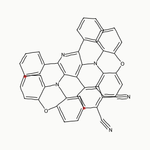 N#Cc1ccc(-c2c(N3c4ccccc4Oc4ccccc43)c(-c3ccccc3)nc(-c3ccccc3)c2N2c3ccccc3Oc3ccccc32)cc1C#N